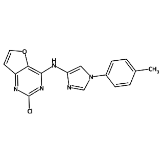 Cc1ccc(-n2cnc(Nc3nc(Cl)nc4ccoc34)c2)cc1